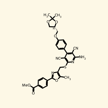 COC(=O)c1ccc(-c2nc(CSc3nc(N)c(C#N)c(-c4ccc(OC[C@@H]5COC(C)(C)O5)cc4)c3C#N)c(C)o2)cc1